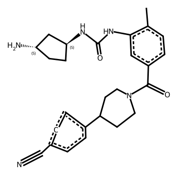 Cc1ccc(C(=O)N2CCC(c3ccc(C#N)cc3)CC2)cc1NC(=O)N[C@H]1CC[C@H](N)C1